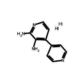 I.I.Nc1nccc(-c2ccncc2)c1N